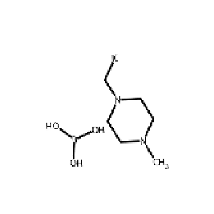 CN1CCN([CH2][K])CC1.OB(O)O